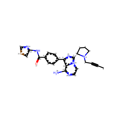 CC#CCN1CCC[C@H]1c1nc(-c2ccc(C(=O)Nc3cscn3)cc2)c2c(N)nccn12